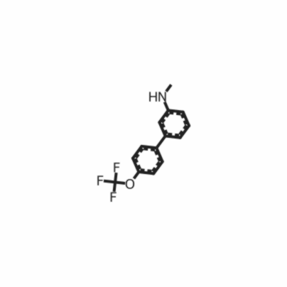 CNc1cccc(-c2ccc(OC(F)(F)F)cc2)c1